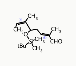 C/C=C(/C)C(C/C=C(\C)C=O)O[Si](C)(C)C(C)(C)C